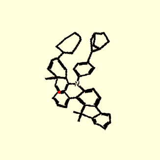 CC1(C)c2ccccc2-c2ccc(N(C3=CC=CC4(C)C=CC(C5CCCCC5)=CC34)c3ccc(C4CC5CCC4C5)cc3)c(-c3ccccc3)c21